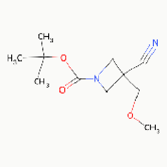 COCC1(C#N)CN(C(=O)OC(C)(C)C)C1